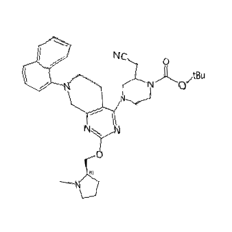 CN1CCC[C@@H]1COc1nc2c(c(N3CCN(C(=O)OC(C)(C)C)C(CC#N)C3)n1)CCN(c1cccc3ccccc13)C2